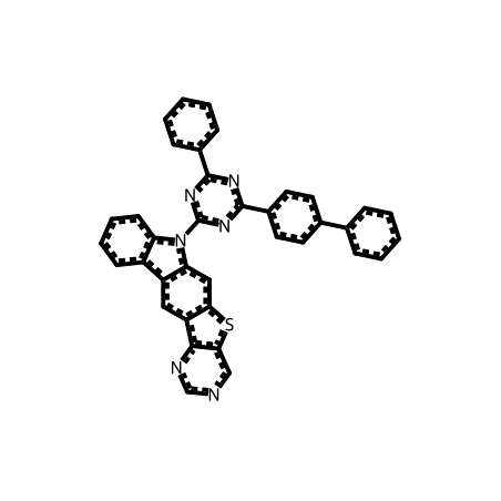 c1ccc(-c2ccc(-c3nc(-c4ccccc4)nc(-n4c5ccccc5c5cc6c(cc54)sc4cncnc46)n3)cc2)cc1